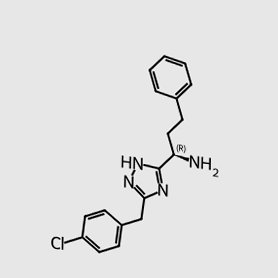 N[C@H](CCc1ccccc1)c1nc(Cc2ccc(Cl)cc2)n[nH]1